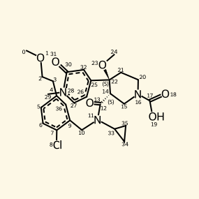 COCCc1ccc(Cl)c(CN(C(=O)[C@H]2CN(C(=O)O)CC[C@@]2(OC)c2ccn(C)c(=O)c2)C2CC2)c1